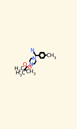 Cc1ccc(C(C#N)N2CCN(OC(=O)C(C)(C)C)CC2)cc1